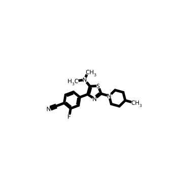 CC1CCN(c2nc(-c3ccc(C#N)c(F)c3)c(N(C)C)s2)CC1